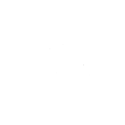 COC(=O)CC1C(OC(C)=O)CC(=O)C1C(=O)OC